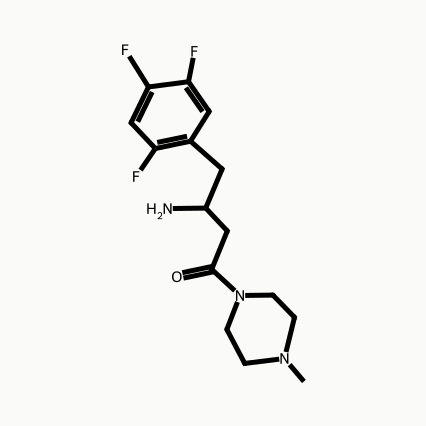 CN1CCN(C(=O)CC(N)Cc2cc(F)c(F)cc2F)CC1